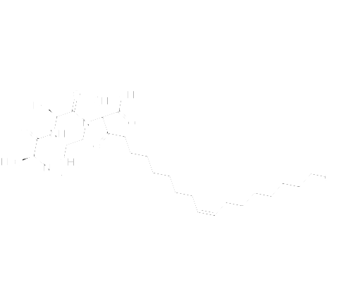 CCCCCCCC/C=C\CCCCCCCC(=O)[C@](C)(C(=O)O)N(CCC)C(=O)[C@H](C)NC(=O)[C@H](C)N